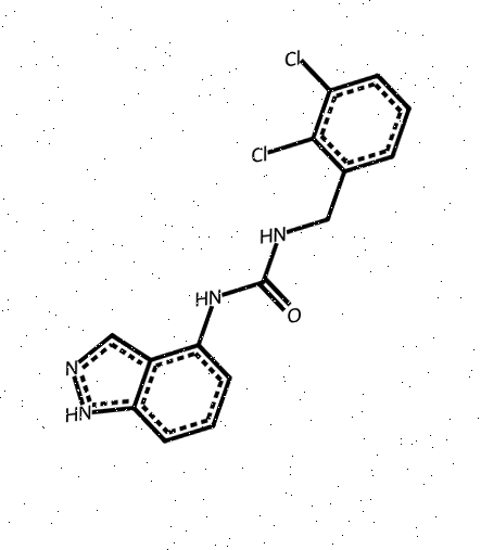 O=C(NCc1cccc(Cl)c1Cl)Nc1cccc2[nH]ncc12